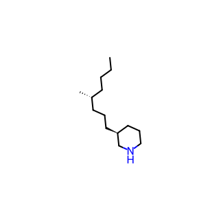 CCCC[C@@H](C)CCC[C@H]1CCCNC1